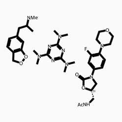 CC(=O)NC[C@H]1CN(c2ccc(N3CCOCC3)c(F)c2)C(=O)O1.CN(C)c1nc(N(C)C)nc(N(C)C)n1.CNC(C)Cc1ccc2c(c1)OOC2